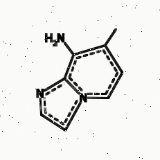 Cc1ccn2ccnc2c1N